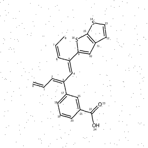 C=C/C=C(/C=C(\C=C/C)c1cc2ccsc2s1)c1cccc(C(=O)O)c1